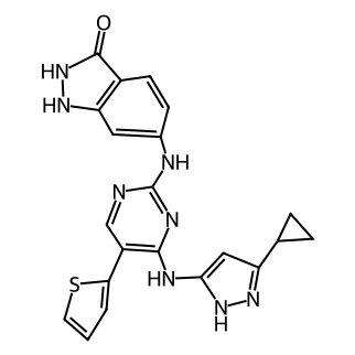 O=c1[nH][nH]c2cc(Nc3ncc(-c4cccs4)c(Nc4cc(C5CC5)n[nH]4)n3)ccc12